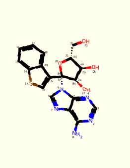 Nc1ncnc2c1ncn2[C@]1(c2csc3ccccc23)O[C@H](CO)[C@@H](O)[C@H]1O